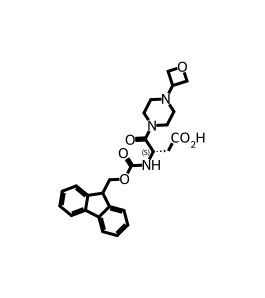 O=C(O)C[C@H](NC(=O)OCC1c2ccccc2-c2ccccc21)C(=O)N1CCN(C2COC2)CC1